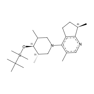 Cc1cnc2c(c1N1CC(C)[C@H](O[Si](C)(C)C(C)(C)C)[C@@H](C)C1)CC[C@H]2C